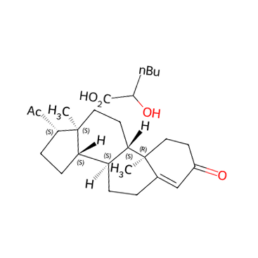 CC(=O)[C@H]1CC[C@H]2[C@@H]3CCC4=CC(=O)CC[C@]4(C)[C@H]3CC[C@]12C.CCCCC(O)C(=O)O